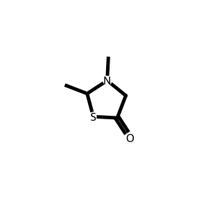 CC1SC(=O)CN1C